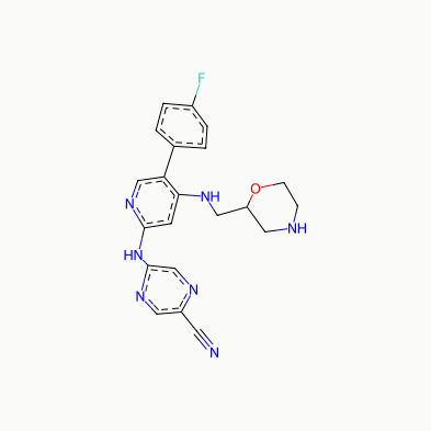 N#Cc1cnc(Nc2cc(NCC3CNCCO3)c(-c3ccc(F)cc3)cn2)cn1